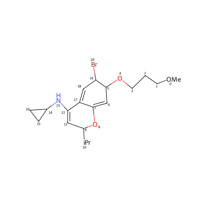 COCCCOC1C=C2OC(C(C)C)C=C(NC3CC3)C2=CC1Br